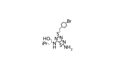 CC(C)C[C@H](CO)Nc1nc(SCCc2ccc(Br)cc2)nc2nc(N)sc12